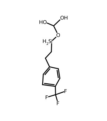 OC(O)O[SiH2]CCc1ccc(C(F)(F)F)cc1